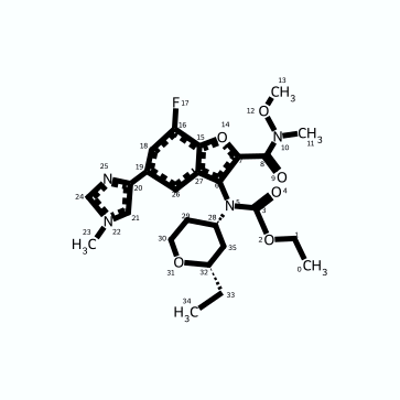 CCOC(=O)N(c1c(C(=O)N(C)OC)oc2c(F)cc(-c3cn(C)cn3)cc12)[C@H]1CCO[C@@H](CC)C1